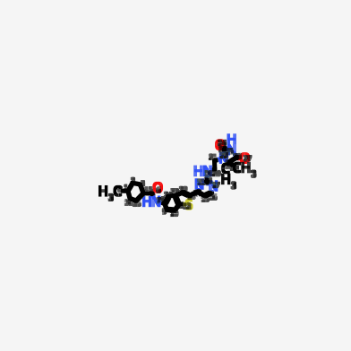 CC1CCC(C(=O)Nc2ccc3sc(-c4ccnc(NCCN5C(=O)NC(=O)C5(C)C)n4)cc3c2)CC1